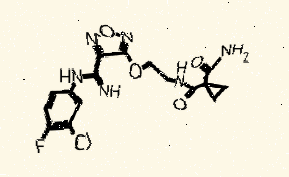 N=C(Nc1ccc(F)c(Cl)c1)c1nonc1OCCNC(=O)C1(C(N)=O)CC1